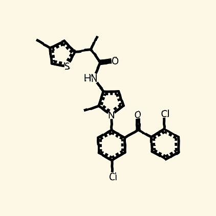 Cc1csc(C(C)C(=O)Nc2ccn(-c3ccc(Cl)cc3C(=O)c3ccccc3Cl)c2C)c1